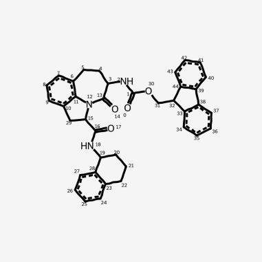 O=C(NC1CCc2cccc3c2N(C1=O)C(C(=O)NC1CCCc2ccccc21)C3)OCC1c2ccccc2-c2ccccc21